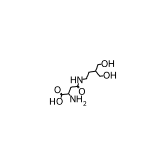 NC(CC(=O)NCCC(CO)CO)C(=O)O